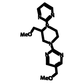 COCc1cnc(N2CCN(c3ncccn3)C(COC)C2)nc1